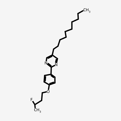 CCCCCCCCCCc1cnc(-c2ccc(OCCC(C)F)cc2)nc1